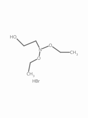 Br.CCON(CCO)OCC